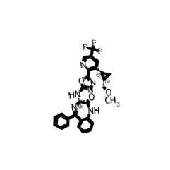 COC[C@H]1C[C@@H]1c1cc(C(F)(F)F)cnc1-c1nnc(N[C@H]2N=C(c3ccccc3)c3ccccc3NC2=O)o1